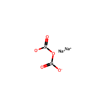 O=[Si]([O-])O[Si](=O)[O-].[Na+].[Na+]